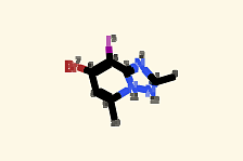 Cc1nc2c(I)c(Br)cc(C)n2n1